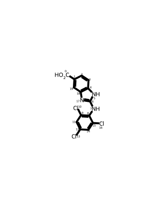 O=C(O)c1ccc2[nH]c(Nc3c(Cl)cc(Cl)cc3Cl)nc2c1